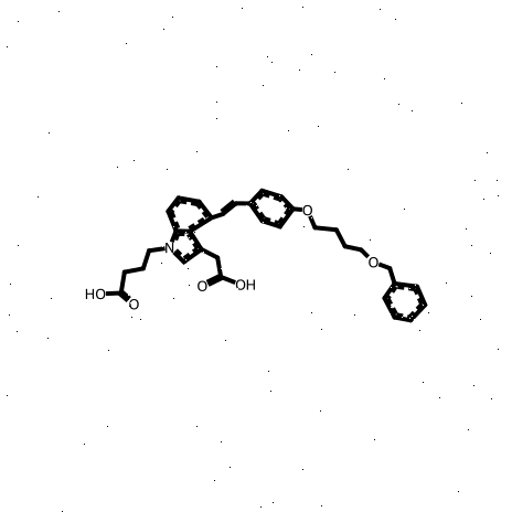 O=C(O)CCCn1cc(CC(=O)O)c2c(/C=C/c3ccc(OCCCCOCc4ccccc4)cc3)cccc21